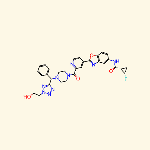 O=C(Nc1ccc2oc(-c3ccnc(C(=O)N4CCN([C@H](c5ccccc5)c5nnn(CCO)n5)CC4)c3)nc2c1)[C@@H]1C[C@@H]1F